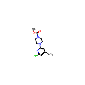 Cc1cc(Cl)nc(N2CCN(C(=O)OC(C)(C)C)CC2)c1